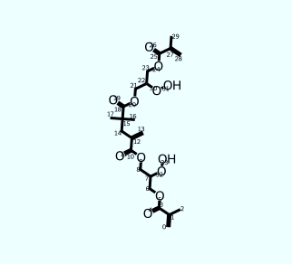 C=C(C)C(=O)OCC(COC(=O)C(=C)CC(C)(C)C(=O)OCC(COC(=O)C(=C)C)OO)OO